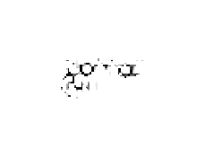 N#Cc1cn2ncnc(N)c2c1-c1ccc(NC(=O)Nc2ccc(F)c(C(F)(F)F)c2)cc1